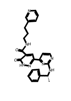 C[C@@H](Nc1nccc(-c2cc(C(=O)NCCCc3cccnc3)c(=O)[nH]n2)n1)c1ccccc1